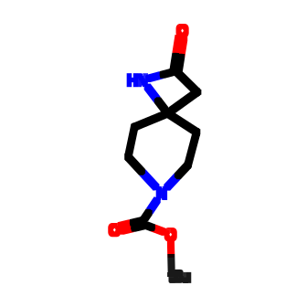 CC(C)(C)OC(=O)N1CCC2(CC1)CC(=O)N2